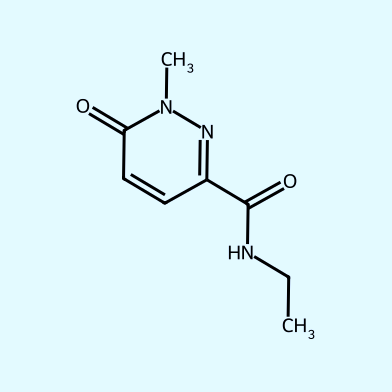 CCNC(=O)c1ccc(=O)n(C)n1